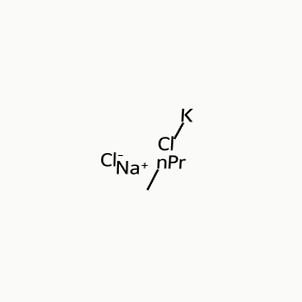 CCCC.[Cl-].[Cl][K].[Na+]